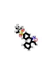 Cc1onc(-c2ccc(S(=O)(=O)C(C)[Si](C)(C)C)cc2)c1-c1ccccc1